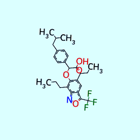 CCCc1cc2c(C(F)(F)F)onc2c(CCC)c1OC(C(=O)O)c1ccc(CC(C)C)cc1